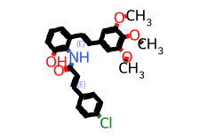 COc1cc(/C=C/c2cccc(O)c2NC(=O)/C=C/c2ccc(Cl)cc2)cc(OC)c1OC